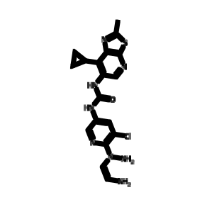 Cc1nc2c(C3CC3)c(NC(=O)Nc3cnc(N(N)/C=C\N)c(Cl)c3)cnc2s1